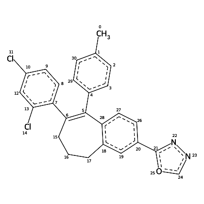 Cc1ccc(C2=C(c3ccc(Cl)cc3Cl)CCCc3cc(-c4nnco4)ccc32)cc1